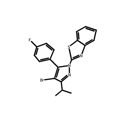 CC(C)c1nn(-c2nc3ccccc3s2)c(-c2ccc(F)cc2)c1Br